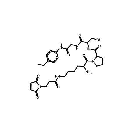 CCc1ccc(NC(=O)CNC(=O)C(CO)NC(=O)C2CCCN2C(=O)C(N)CCCCNC(=O)CCN2C(=O)C=CC2=O)cc1